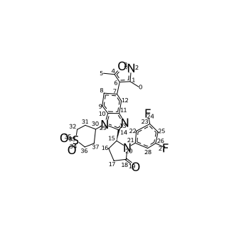 Cc1noc(C)c1-c1ccc2c(c1)nc([C@@H]1CCC(=O)N1c1cc(F)cc(F)c1)n2C1CCS(=O)(=O)CC1